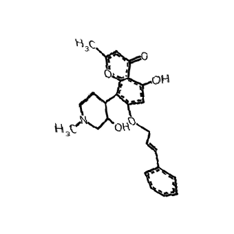 Cc1cc(=O)c2c(O)cc(OCC=Cc3ccccc3)c(C3CCN(C)CC3O)c2o1